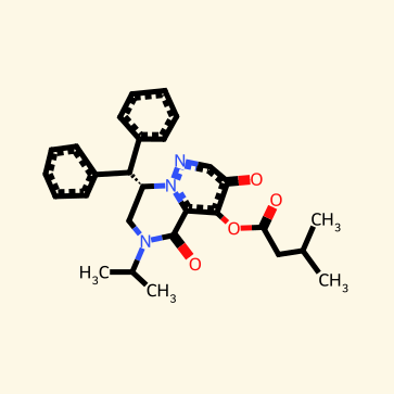 CC(C)CC(=O)Oc1c2n(ncc1=O)[C@@H](C(c1ccccc1)c1ccccc1)CN(C(C)C)C2=O